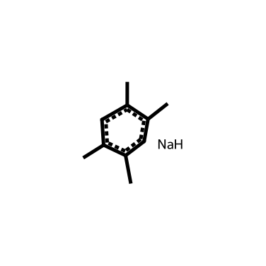 Cc1cc(C)c(C)cc1C.[NaH]